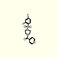 O=C(c1ccncc1)N1CCN(S(=O)(=O)c2ccc(F)cc2F)CC1